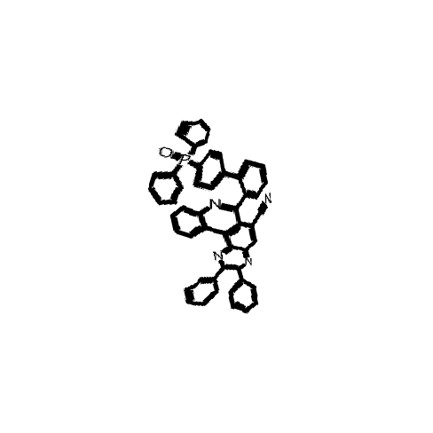 N#Cc1cc2nc(-c3ccccc3)c(-c3ccccc3)nc2c2c1c(-c1ccccc1-c1ccc(P(=O)(c3ccccc3)c3ccccc3)cc1)nc1ccccc12